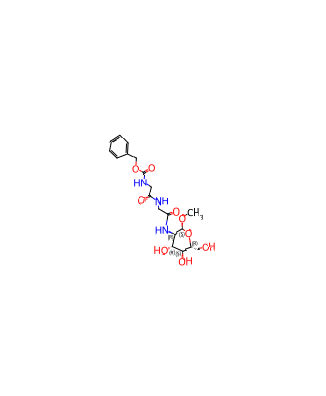 CO[C@H]1O[C@H](CO)[C@@H](O)[C@H](O)[C@H]1NC(=O)CNC(=O)CNC(=O)OCc1ccccc1